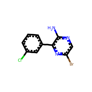 Nc1ncc(Br)nc1-c1cccc(Cl)c1